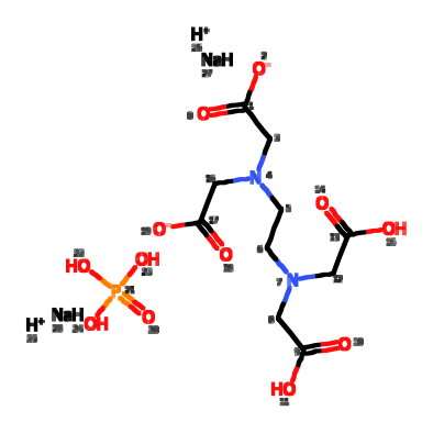 O=C([O-])CN(CCN(CC(=O)O)CC(=O)O)CC(=O)[O-].O=P(O)(O)O.[H+].[H+].[NaH].[NaH]